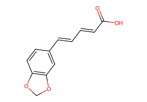 O=C(O)/C=C/C=Cc1ccc2c(c1)OCO2